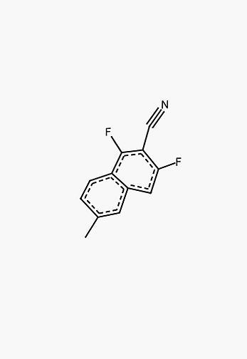 Cc1ccc2c(F)c(C#N)c(F)cc2c1